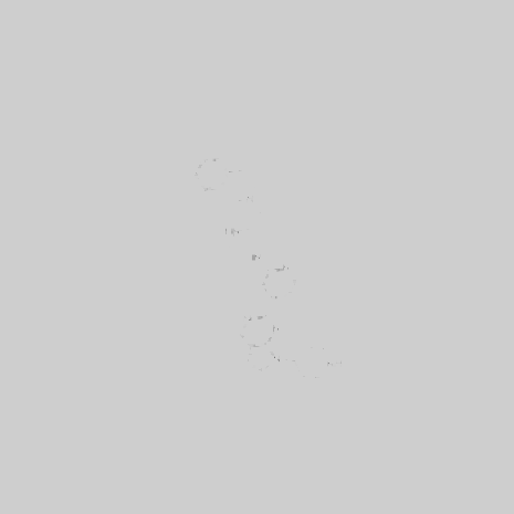 CNC(CNc1cc(-c2ncc3ccn(C4CCNCC4)c3n2)ccn1)CN1CCc2ccccc2C1